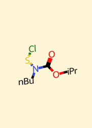 CCCCN(SCl)C(=O)OC(C)C